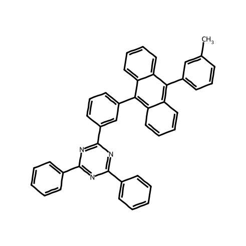 Cc1cccc(-c2c3ccccc3c(-c3cccc(-c4nc(-c5ccccc5)nc(-c5ccccc5)n4)c3)c3ccccc23)c1